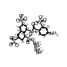 Nc1ccc(C(=O)Nc2cc(S(=O)(=O)[O-])cc3cc(S(=O)(=O)[O-])cc(S(=O)(=O)[O-])c23)c(S(=O)(=O)[O-])c1.[Na+].[Na+].[Na+].[Na+]